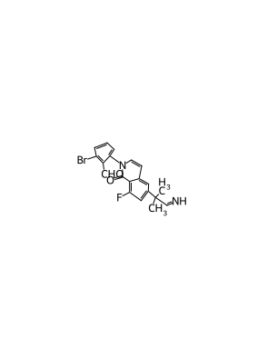 CC(C)(C=N)c1cc(F)c2c(=O)n(-c3cccc(Br)c3C=O)ccc2c1